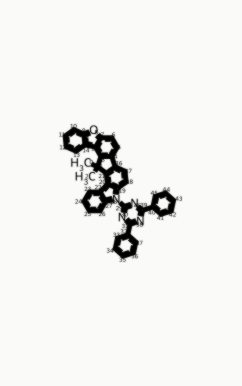 CC1(C)c2c(ccc3oc4ccccc4c23)-c2ccc3c(c21)c1ccccc1n3-c1nc(-c2ccccc2)nc(-c2ccccc2)n1